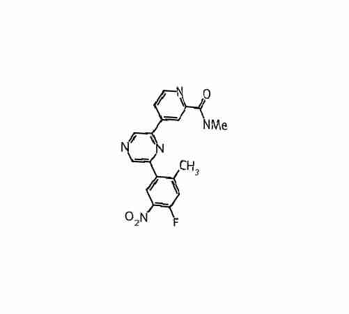 CNC(=O)c1cc(-c2cncc(-c3cc([N+](=O)[O-])c(F)cc3C)n2)ccn1